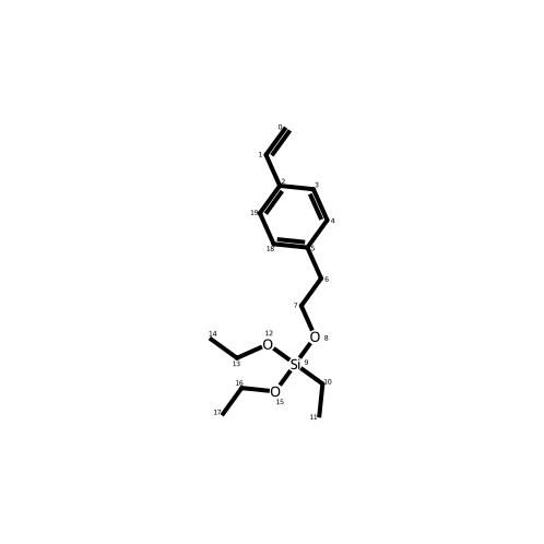 C=Cc1ccc(CCO[Si](CC)(OCC)OCC)cc1